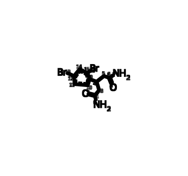 NC(=O)CC(CC(N)=O)c1ccc(Br)cc1Br